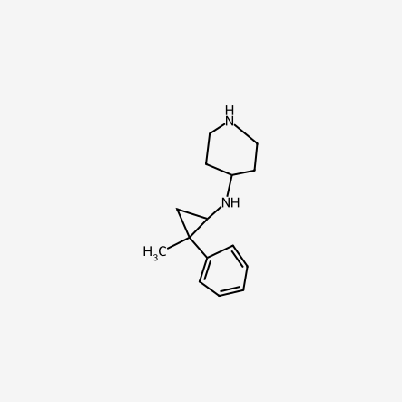 CC1(c2ccccc2)CC1NC1CCNCC1